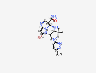 CC1(C)CN(c2ccc(C#N)nn2)CC[C@H]1Nc1c(C(N)=O)cnc2cc(Br)nn12